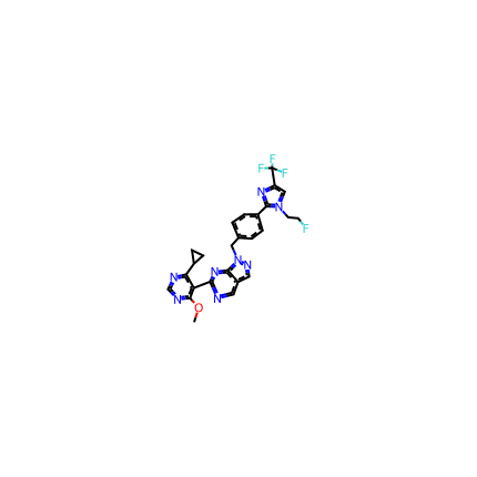 COc1ncnc(C2CC2)c1-c1ncc2cnn(Cc3ccc(-c4nc(C(F)(F)F)cn4CCF)cc3)c2n1